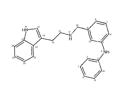 c1ccc(Nc2cccc(CNCCc3c[nH]c4ccccc34)c2)cc1